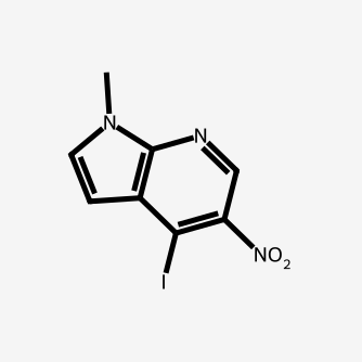 Cn1ccc2c(I)c([N+](=O)[O-])cnc21